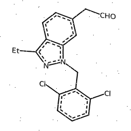 CCc1nn(Cc2c(Cl)cccc2Cl)c2cc(CC=O)ccc12